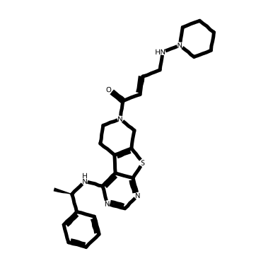 C[C@@H](Nc1ncnc2sc3c(c12)CCN(C(=O)/C=C/CNN1CCCCC1)C3)c1ccccc1